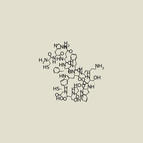 C[C@@H](O)[C@H](NC(=O)[C@H](Cc1ccccc1)NC(=O)[C@@H](NC(=O)[C@H](CCCCN)NC(=O)[C@@H](Cc1c[nH]c2ccccc12)NC(=O)[C@H](Cc1ccccc1)NC(=O)[C@H](Cc1ccccc1)NC(=O)[C@H](CCC(N)=O)NC(=O)[C@H](Cc1c[nH]cn1)NC(=O)[C@@H](N)CS)[C@@H](C)O)C(=O)N[C@@H](CO)C(=O)N[C@@H](CS)C(=O)O